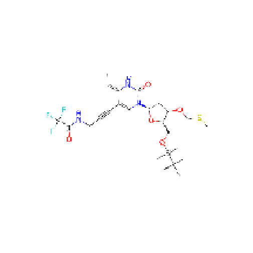 CC=C1NC(=O)N([C@H]2C[C@@H](OCSC)[C@@H](CO[Si](C)(C)C(C)(C)C)O2)C=C1C#CCNC(=O)C(F)(F)F